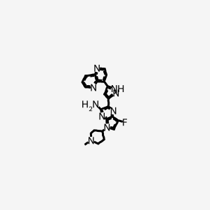 CN1CCC(n2cc(F)c3nc(-c4cc(-c5ccnc6cccnc56)[nH]n4)c(N)nc32)CC1